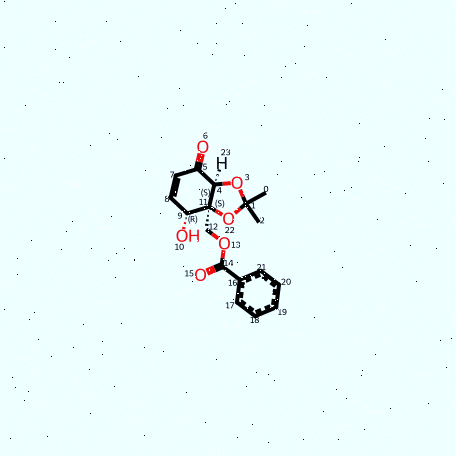 CC1(C)O[C@@H]2C(=O)C=C[C@@H](O)[C@]2(COC(=O)c2ccccc2)O1